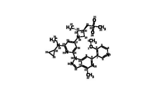 COc1ccncc1-c1cc2c(cnn2-c2cc(N3C[C@H](CS(C)(=O)=O)[C@H]3C)cc(N(C)C3CC3)n2)c(C)n1